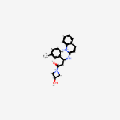 O=C(CC(NC1=C=Cc2ccccc2N1)c1cccc(C(F)(F)F)c1)N1CC(O)C1